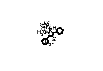 COc1c(-c2ccccc2)n(C)[n+](C)c1-c1ccccc1.[O-][Cl+3]([O-])([O-])[O-]